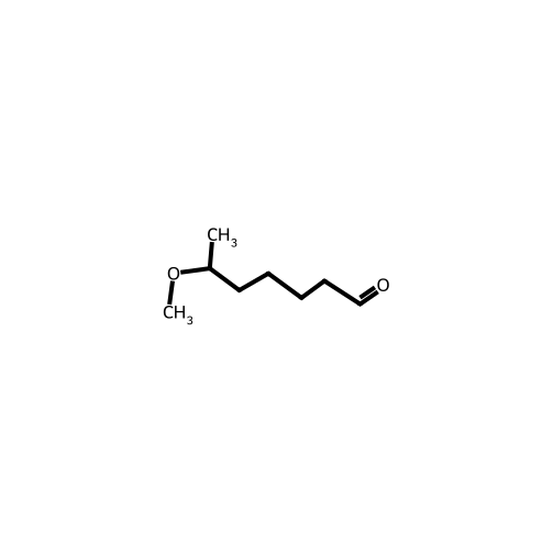 COC(C)CCCCC=O